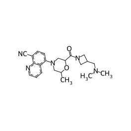 CC1CN(c2ccc(C#N)c3ncccc23)CC(C(=O)N2CC(CN(C)C)C2)O1